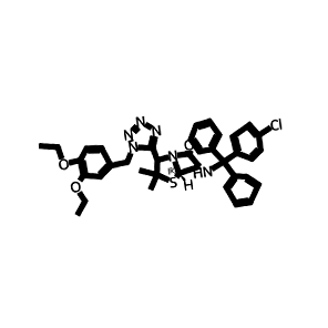 CCOc1ccc(Cn2nnnc2C2N3C(=O)C(NC(c4ccccc4)(c4ccccc4)c4ccc(Cl)cc4)[C@H]3SC2(C)C)cc1OCC